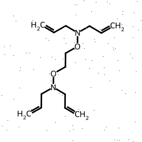 C=CCN(CC=C)OCCON(CC=C)CC=C